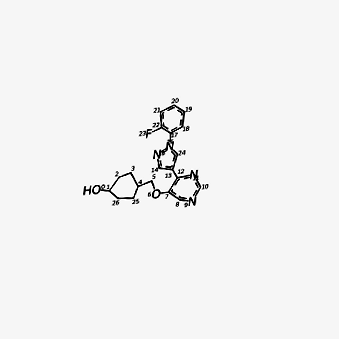 OC1CCC(COc2cncnc2-c2cnn(-c3ccccc3F)c2)CC1